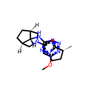 COc1cc(N2C[C@H]3CC[C@@H](C2)[C@@H]3Nc2nc3n(n2)CC[C@H]3C)cnn1